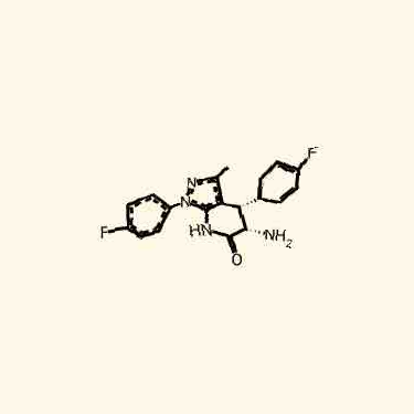 Cc1nn(-c2ccc(F)cc2)c2c1[C@H](C1C=CC(F)=CC1)[C@H](N)C(=O)N2